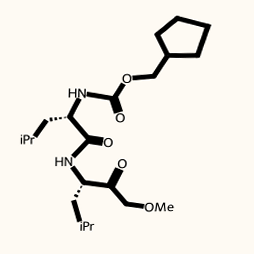 COCC(=O)[C@H](CC(C)C)NC(=O)[C@H](CC(C)C)NC(=O)OCC1CCCC1